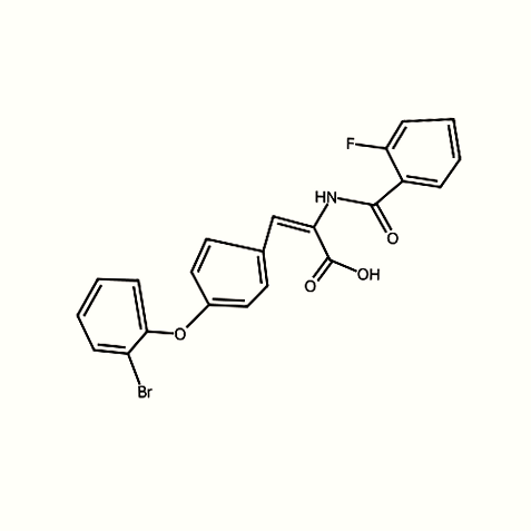 O=C(O)/C(=C\c1ccc(Oc2ccccc2Br)cc1)NC(=O)c1ccccc1F